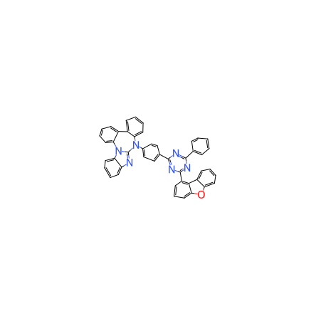 c1ccc(-c2nc(-c3ccc(N4c5ccccc5-c5ccccc5-n5c4nc4ccccc45)cc3)nc(-c3cccc4oc5ccccc5c34)n2)cc1